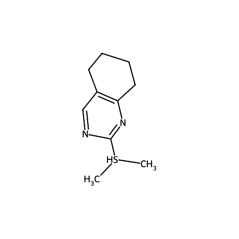 C[SH](C)c1ncc2c(n1)CCCC2